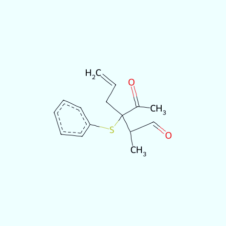 C=CCC(Sc1ccccc1)(C(C)=O)C(C)C=O